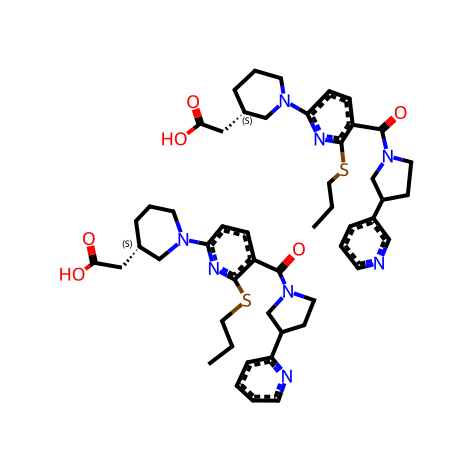 CCCSc1nc(N2CCC[C@@H](CC(=O)O)C2)ccc1C(=O)N1CCC(c2ccccn2)C1.CCCSc1nc(N2CCC[C@@H](CC(=O)O)C2)ccc1C(=O)N1CCC(c2cccnc2)C1